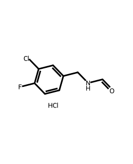 Cl.O=CNCc1ccc(F)c(Cl)c1